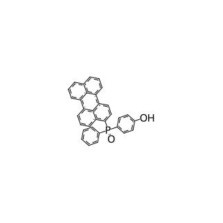 O=P(c1ccccc1)(c1ccc(O)cc1)c1ccc2c3cccc4cccc(c5cccc1c52)c43